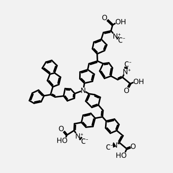 [C-]#[N+]/C(=C\c1ccc(C(=Cc2ccc(N(c3ccc(C=C(c4ccc(/C=C(\[N+]#[C-])C(=O)O)cc4)c4ccc(/C=C(\[N+]#[C-])C(=O)O)cc4)cc3)c3ccc(/C=C(/c4ccccc4)c4ccc5ccccc5c4)cc3)cc2)c2ccc(/C=C(\[N+]#[C-])C(=O)O)cc2)cc1)C(=O)O